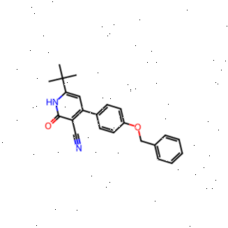 CC(C)(C)c1cc(-c2ccc(OCc3ccccc3)cc2)c(C#N)c(=O)[nH]1